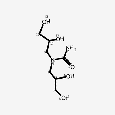 NC(=O)N(CC(O)CO)CC(O)CO